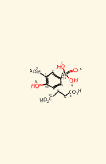 CC(=O)Nc1cc([As](=O)(O)O)ccc1O.O=C(O)CCC(=O)O